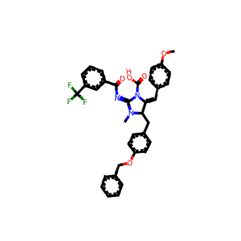 COc1ccc(/C=C2/C(Cc3ccc(OCc4ccccc4)cc3)N(C)/C(=N/C(=O)c3cccc(C(F)(F)F)c3)N2C(=O)O)cc1